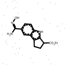 CCOC(=O)C1CCc2c1[nH]c1ccc(/C(N)=N\O)cc21